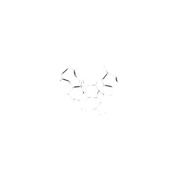 CN(C)CC1CC2(CCC1(O)c1cccc(F)c1)OCCc1c2[nH]c2ccccc12